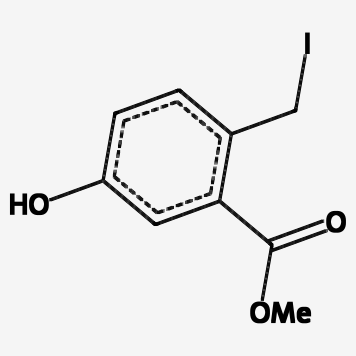 COC(=O)c1cc(O)ccc1CI